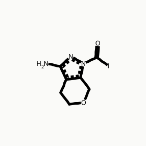 Nc1nn(C(=O)I)c2c1CCOC2